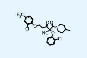 CC1CCN(C(=O)C(C#N)(Oc2ccccc2Cl)C(=O)CCOc2ccc(C(F)(F)F)cc2Cl)CC1